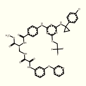 COC(=O)[C@H](CNC(=O)C(=O)Nc1cccc(Oc2cccnc2)c1)NC(=O)c1ccc(Nc2nc(NC3(c4ccc(Cl)cc4)CC3)nc(OCC(F)(F)F)n2)cc1